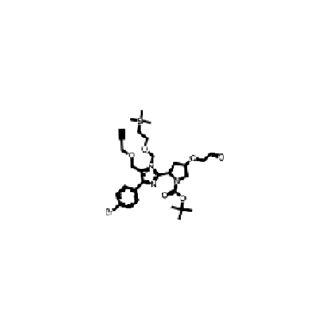 C#CCOCc1c(-c2ccc(Br)cc2)nc(C2CC(OCC=O)CN2C(=O)OC(C)(C)C)n1COCC[Si](C)(C)C